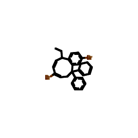 CCC1/C=C\C(Br)=C/CC(C2=CC=CCC2)(c2ccccc2)c2cc(Br)ccc21